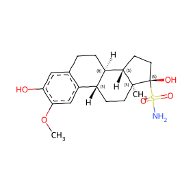 COc1cc2c(cc1O)CC[C@@H]1[C@@H]2CC[C@@]2(C)[C@H]1CC[C@]2(O)S(N)(=O)=O